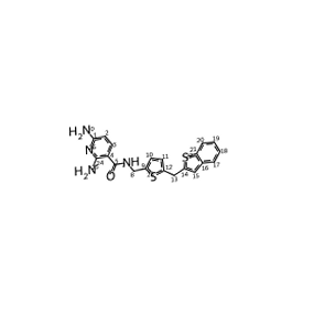 Nc1ccc(C(=O)NCc2ccc(Cc3cc4ccccc4s3)s2)c(N)n1